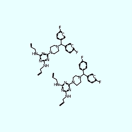 C=CCNc1nc(NCC=C)nc(N2CCN(C(c3ccc(F)cc3)c3ccc(F)cc3)CC2)n1.C=CCNc1nc(NCC=C)nc(N2CCN(C(c3ccc(F)cc3)c3ccc(F)cc3)CC2)n1